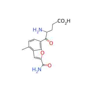 Cc1ccc(C(=O)C(N)CCC(=O)O)c2oc(C(N)=O)cc12